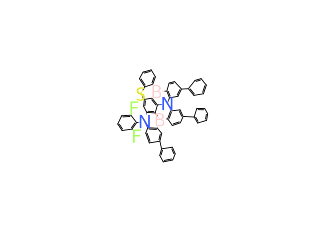 Fc1cccc(F)c1N1c2ccc(-c3ccccc3)cc2B2c3ccc(-c4ccccc4)cc3N3c4cc(-c5ccccc5)ccc4B4c5ccccc5Sc5cc1c2c3c54